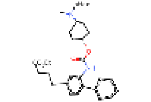 CCCCCCN(C)[C@H]1CC[C@H](OC(=O)Nc2cc(CCCC(=O)OCC)ccc2-c2ccccc2)CC1